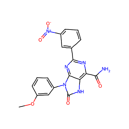 COc1cccc(-n2c(=O)[nH]c3c(C(N)=O)nc(-c4cccc([N+](=O)[O-])c4)nc32)c1